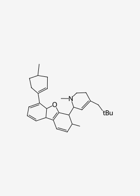 CC1CC=C(C2=CC=CC3C4=C(OC23)C(C2C=C(CC(C)(C)C)CCN2C)C(C)C=C4)CC1